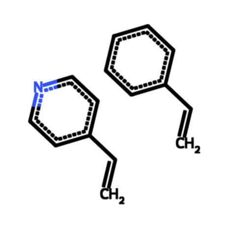 C=Cc1ccccc1.C=Cc1ccncc1